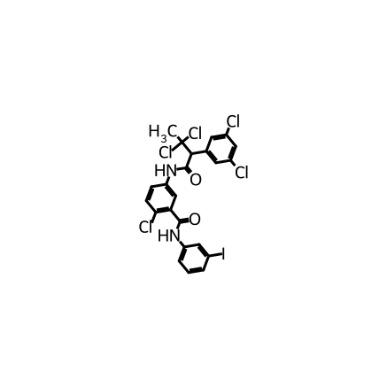 CC(Cl)(Cl)C(C(=O)Nc1ccc(Cl)c(C(=O)Nc2cccc(I)c2)c1)c1cc(Cl)cc(Cl)c1